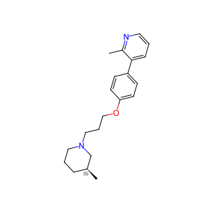 Cc1ncccc1-c1ccc(OCCCN2CCC[C@H](C)C2)cc1